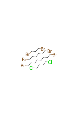 BrCCCBr.BrCCCCCCBr.BrCCCCCCCCBr.ClCCCCCl